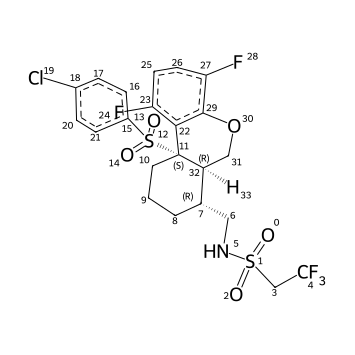 O=S(=O)(CC(F)(F)F)NC[C@@H]1CCC[C@@]2(S(=O)(=O)c3ccc(Cl)cc3)c3c(F)ccc(F)c3OC[C@@H]12